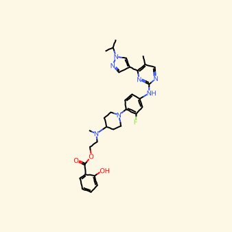 Cc1cnc(Nc2ccc(N3CCC(N(C)CCOC(=O)c4ccccc4O)CC3)c(F)c2)nc1-c1cnn(C(C)C)c1